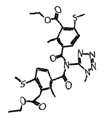 CCOC(=O)c1c(SC)ccc(C(=O)N(C(=O)c2ccc(SC)c(C(=O)OCC)c2C)c2nnnn2C)c1C